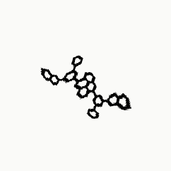 c1ccc(-c2cc(-c3ccc4ccccc4c3)cc(-c3cc4cccc5c(-c6cc(-c7ccccc7)cc(-c7ccc8ccccc8c7)c6)cc6cccc3c6c45)c2)cc1